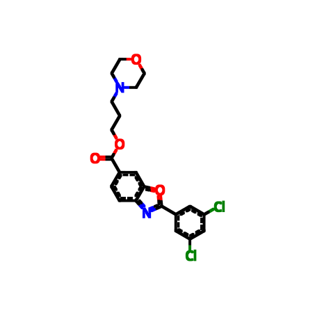 O=C(OCCCN1CCOCC1)c1ccc2nc(-c3cc(Cl)cc(Cl)c3)oc2c1